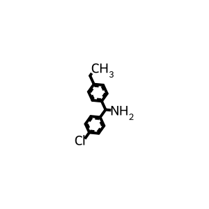 CCc1ccc(C(N)c2ccc(Cl)cc2)cc1